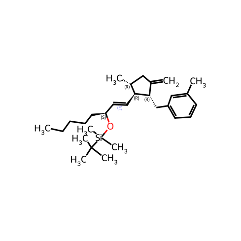 C=C1C[C@@H](C)[C@H](/C=C/[C@H](CCCCC)O[Si](C)(C)C(C)(C)C)[C@H]1Cc1cccc(C)c1